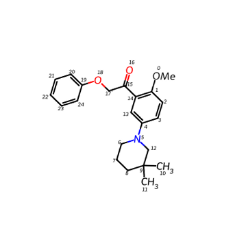 COc1ccc(N2CCCC(C)(C)C2)cc1C(=O)[CH]Oc1ccccc1